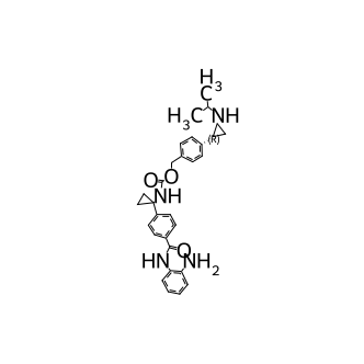 CC(C)NC1C[C@@H]1c1ccc(COC(=O)NC2(c3ccc(C(=O)Nc4ccccc4N)cc3)CC2)cc1